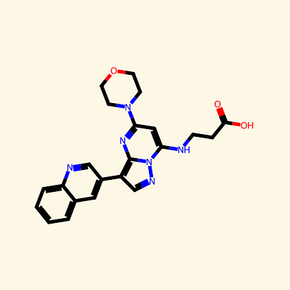 O=C(O)CCNc1cc(N2CCOCC2)nc2c(-c3cnc4ccccc4c3)cnn12